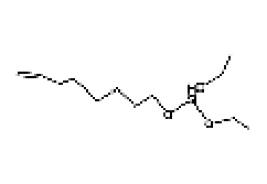 C=CCCCCCCO[SiH](OCC)OCC